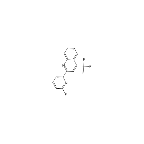 Fc1cccc(-c2cc(C(F)(F)F)c3ccccc3n2)n1